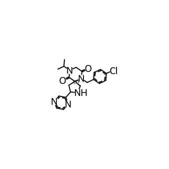 CC(C)N1CC(=O)N(Cc2ccc(Cl)cc2)[C@@]2(CNC(c3cnccn3)C2)C1=O